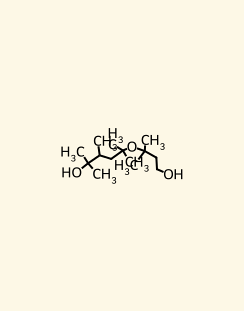 CC(CC(C)(C)OC(C)(C)CCO)C(C)(C)O